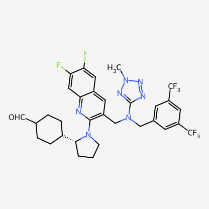 Cn1nnc(N(Cc2cc(C(F)(F)F)cc(C(F)(F)F)c2)Cc2cc3cc(F)c(F)cc3nc2N2CCC[C@@H]2C2CCC(C=O)CC2)n1